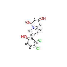 O=C1CC(O)C[C@@H]2C[C@H](c3c(O)ccc(Cl)c3Cl)CN12